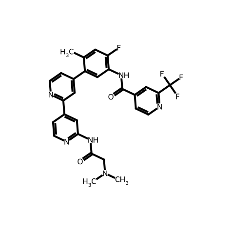 Cc1cc(F)c(NC(=O)c2ccnc(C(F)(F)F)c2)cc1-c1ccnc(-c2ccnc(NC(=O)CN(C)C)c2)c1